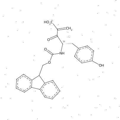 C=C(C(=O)O)C(=O)[C@H](Cc1ccc(O)cc1)NC(=O)OCC1c2ccccc2-c2ccccc21